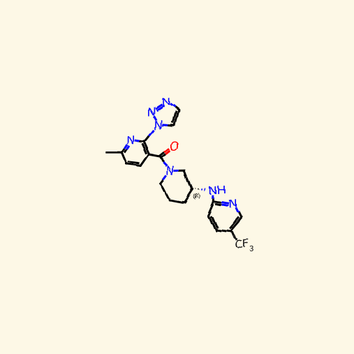 Cc1ccc(C(=O)N2CCC[C@@H](Nc3ccc(C(F)(F)F)cn3)C2)c(-n2ccnn2)n1